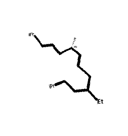 CCC(CCC[C@@H](C)CCCC(C)C)CCC(C)C